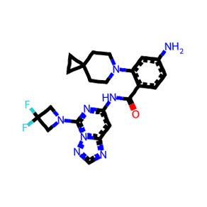 Nc1ccc(C(=O)Nc2cc3ncnn3c(N3CC(F)(F)C3)n2)c(N2CCC3(CC2)CC3)c1